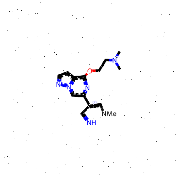 CN/C=C(\C=N)c1cn2nccc2c(OCCN(C)C)n1